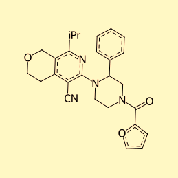 CC(C)c1nc(N2CCN(C(=O)c3ccco3)CC2c2ccccc2)c(C#N)c2c1COCC2